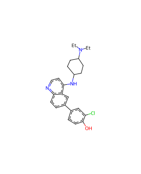 CCN(CC)C1CCC(Nc2ccnc3ccc(-c4ccc(O)c(Cl)c4)cc23)CC1